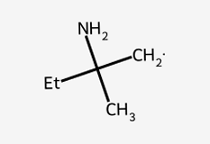 [CH2]C(C)(N)CC